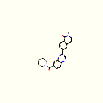 CO[C@H]1CCN(C(=O)c2ccc3ncc(-c4ccc5c(=O)n(C)ccc5c4)nc3c2)C[C@@H]1O